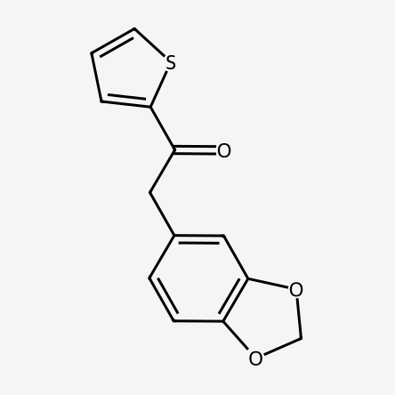 O=C(Cc1ccc2c(c1)OCO2)c1cccs1